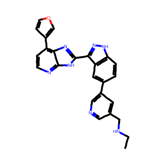 CCNCc1cncc(-c2ccc3[nH]nc(-c4nc5c(-c6ccoc6)ccnc5[nH]4)c3c2)c1